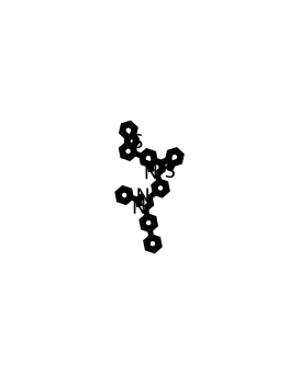 c1ccc(-c2ccc(-c3cc(-c4cccc(-c5nc6cc(-c7cccc8c7sc7ccccc78)ccc6c6c5sc5ccccc56)c4)nc(-c4ccccc4)n3)cc2)cc1